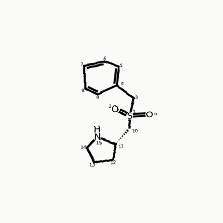 O=S(=O)(Cc1ccccc1)C[C@@H]1CCCN1